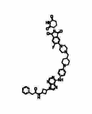 O=C1CC[C@H](N2C(=O)c3cc(F)c(N4CCN(CC5CCN(c6ccc(Nc7ncnc8c7ncn8C7CC(NC(=O)Cc8ccccc8)C7)cc6)CC5)CC4)cc3C2=O)C(=O)N1